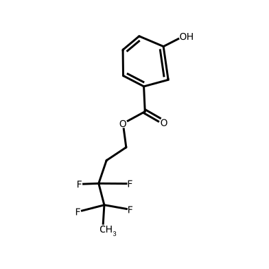 CC(F)(F)C(F)(F)CCOC(=O)c1cccc(O)c1